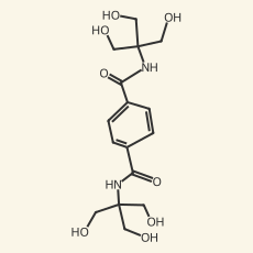 O=C(NC(CO)(CO)CO)c1ccc(C(=O)NC(CO)(CO)CO)cc1